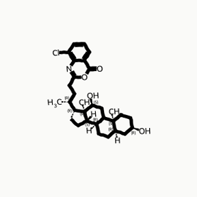 C[C@H](CCc1nc2c(Cl)cccc2c(=O)o1)[C@H]1CC[C@H]2[C@@H]3CC[C@@H]4C[C@H](O)CC[C@]4(C)C3C[C@H](O)[C@]12C